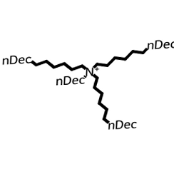 CCCCCCCCCCCCCCCC[N+](CCCCCCCCCC)(CCCCCCCCCCCCCCCC)CCCCCCCCCCCCCCCC